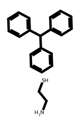 NCCS.c1ccc(C(c2ccccc2)c2ccccc2)cc1